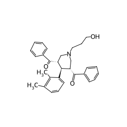 Cc1cccc([C@@H]2[C@@H](C(=O)c3ccccc3)CN(CCCO)C[C@H]2C(=O)c2ccccc2)c1C